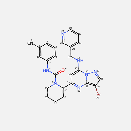 [C-]#[N+]c1cccc(NC(=O)N2CCCCC2c2cc(NCc3cccnc3)n3ncc(Br)c3n2)c1